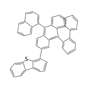 c1ccc(-c2ccccc2-c2c3ccccc3c(-c3cccc4ccccc34)c3ccc(-c4cccc5c4sc4ccccc45)cc23)cc1